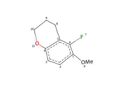 COc1ccc2c(c1F)CCCO2